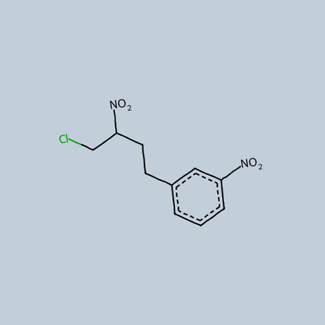 O=[N+]([O-])c1cccc(CCC(CCl)[N+](=O)[O-])c1